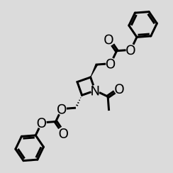 CC(=O)N1[C@H](COC(=O)Oc2ccccc2)C[C@H]1COC(=O)Oc1ccccc1